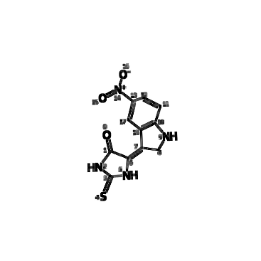 O=C1NC(=S)NC1=C1CNc2ccc([N+](=O)[O-])cc21